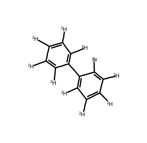 [2H]c1c([2H])c([2H])c(-c2c([2H])c([2H])c([2H])c([2H])c2Br)c([2H])c1[2H]